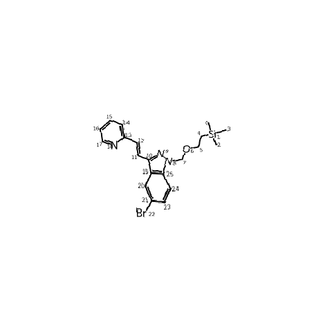 C[Si](C)(C)CCOCn1nc(/C=C/c2ccccn2)c2cc(Br)ccc21